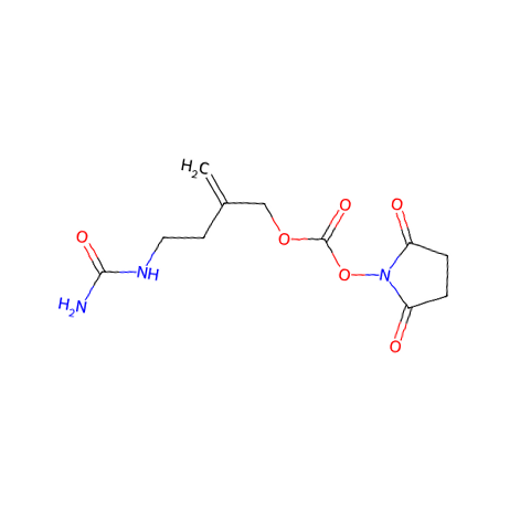 C=C(CCNC(N)=O)COC(=O)ON1C(=O)CCC1=O